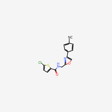 [C-]#[N+]c1ccc(-c2coc(CNC(=O)c3ccc(Cl)s3)n2)cc1